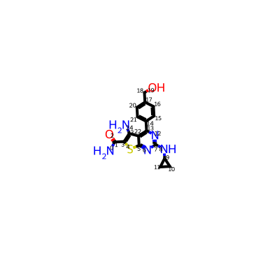 NC(=O)c1sc2nc(NC3CC3)nc(-c3ccc(CO)cc3)c2c1N